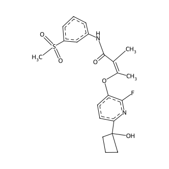 C/C(Oc1ccc(C2(O)CCC2)nc1F)=C(\C)C(=O)Nc1cccc(S(C)(=O)=O)c1